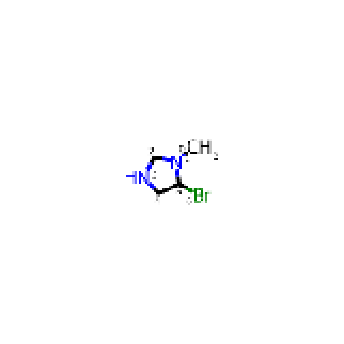 CN1CNCC1Br